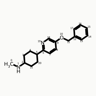 CNC1CCC(c2ccc(OCc3ccccc3)cn2)CC1